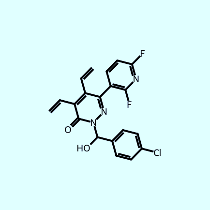 C=Cc1c(-c2ccc(F)nc2F)nn(C(O)c2ccc(Cl)cc2)c(=O)c1C=C